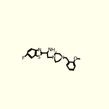 COc1ccccc1CN1CCN(CC(N)c2nc3ccc(F)cc3s2)CC1